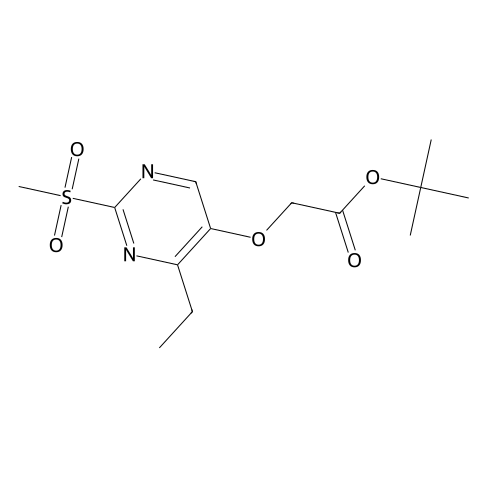 CCc1nc(S(C)(=O)=O)ncc1OCC(=O)OC(C)(C)C